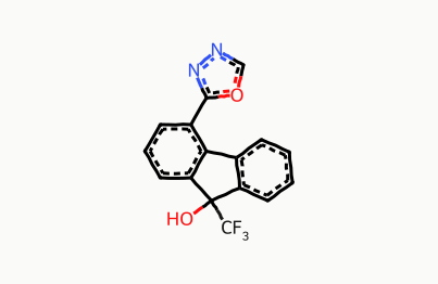 OC1(C(F)(F)F)c2ccccc2-c2c(-c3nnco3)cccc21